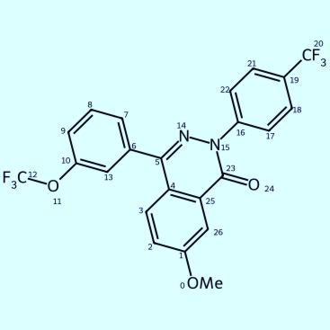 COc1ccc2c(-c3cccc(OC(F)(F)F)c3)nn(-c3ccc(C(F)(F)F)cc3)c(=O)c2c1